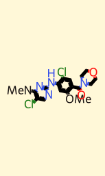 CNc1nc(Nc2cc(OC)c(C(=O)N3CCOCC3)cc2Cl)ncc1Cl